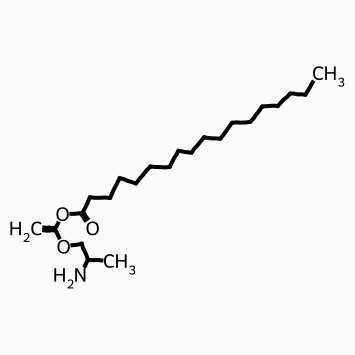 C=C(OCC(C)N)OC(=O)CCCCCCCCCCCCCCCCC